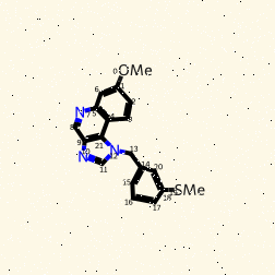 COc1ccc2c(c1)ncc1ncn(Cc3cccc(SC)c3)c12